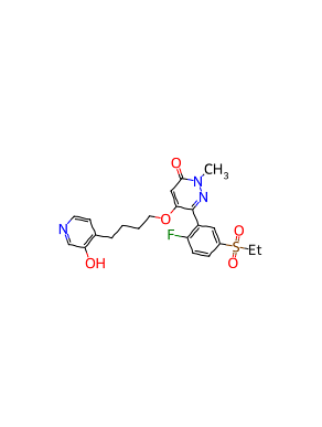 CCS(=O)(=O)c1ccc(F)c(-c2nn(C)c(=O)cc2OCCCCc2ccncc2O)c1